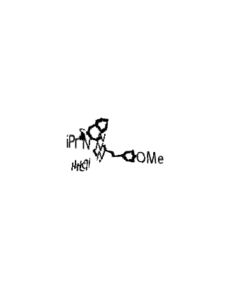 COc1ccc(CCC2CN(C3=Nc4ccccc4Cc4sc(C(C)C)nc43)CCN2C)cc1.Cl.Cl